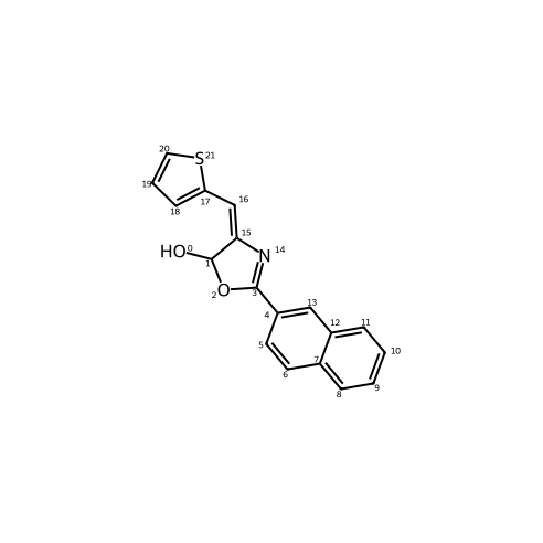 OC1OC(c2ccc3ccccc3c2)=N/C1=C/c1cccs1